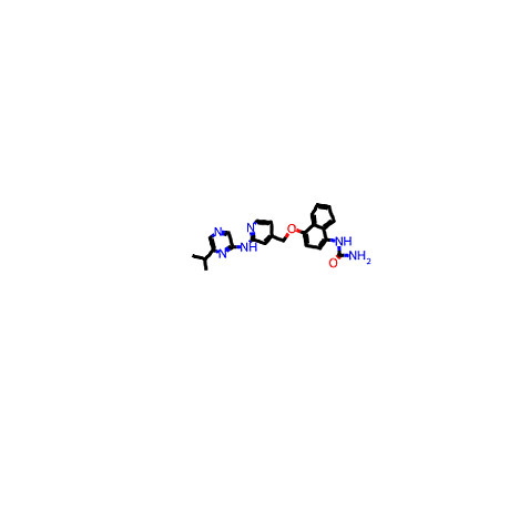 CC(C)c1cncc(Nc2cc(COc3ccc(NC(N)=O)c4ccccc34)ccn2)n1